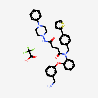 NCc1cccc(Oc2ccccc2N(Cc2ccc(-c3cccs3)cc2)C(=O)CCC(=O)NN2CCN(c3ccccc3)CC2)c1.O=C(O)C(F)(F)F